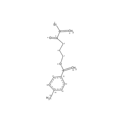 C=C(CC)C(=O)CCCOC(=C)c1ccc(C)cc1